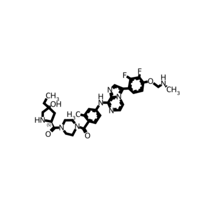 CC[C@]1(O)CN[C@H](C(=O)N2CCN(C(=O)c3ccc(Nc4nccn5c(-c6ccc(OCNC)c(F)c6F)cnc45)cc3C)CC2)C1